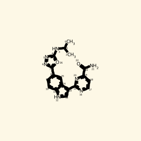 CC(C)Nc1nnc(-c2ccc3[nH]cc(-c4nccc(C(N)=O)n4)c3c2)o1